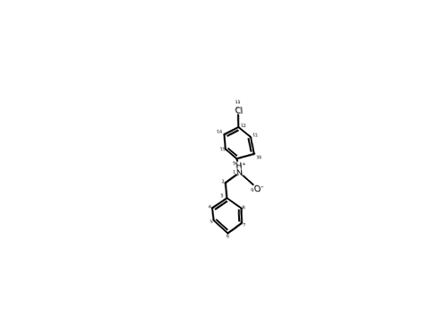 [O-][NH+](Cc1ccccc1)c1ccc(Cl)cc1